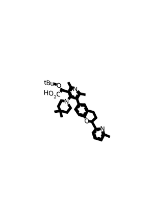 Cc1cccc(C2CCc3cc(-c4c(C)nc(C)c(C(OC(C)(C)C)C(=O)O)c4N4CCC(C)(C)CC4)ccc3O2)n1